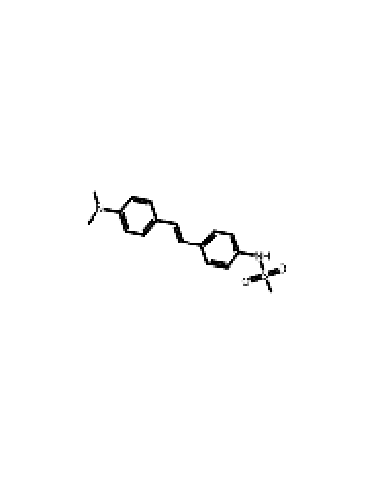 CN(C)c1ccc(C=Cc2ccc(NS(C)(=O)=O)cc2)cc1